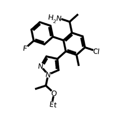 CCOC(C)n1cc(-c2c(C)c(Cl)cc(C(C)N)c2-c2cccc(F)c2)cn1